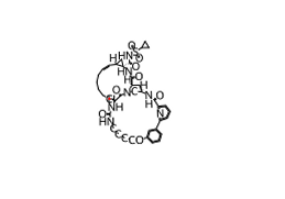 O=C1NCCCCOc2cccc(c2)-c2cccc(n2)C(=O)N[C@@H]2C[C@H]3C(=O)N[C@]4(C(=O)NS(=O)(=O)C5CC5)C[C@H]4/C=C\CCCCC[C@H](N1)C(=O)N3C2